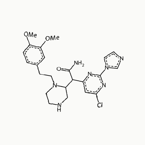 COc1ccc(CCN2CCNCC2C(C(N)=O)c2cc(Cl)nc(-n3ccnc3)n2)cc1OC